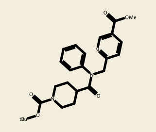 COC(=O)c1ccc(CN(C(=O)C2CCN(C(=O)OC(C)(C)C)CC2)c2ccccc2)nc1